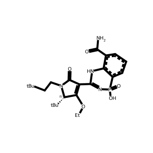 CCOC1=C(C2=NP(=O)(O)c3cccc(C(N)=O)c3N2)C(=O)N(CCC(C)(C)C)[C@H]1C(C)(C)C